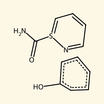 NC(=O)S1=CC=CC=N1.Oc1ccccc1